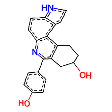 Oc1ccc(-c2nc3ccc4[nH]ccc4c3c3c2CC(O)CC3)cc1